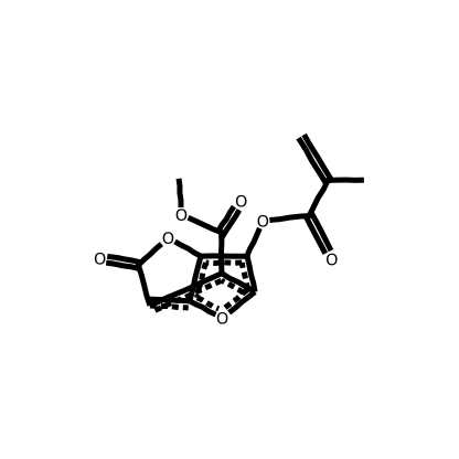 C=C(C)C(=O)Oc1c2c3oc1c(C(=O)OC)c3C(=O)O2